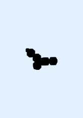 Cc1ccc(-c2ccc3c(c2)c2ccccc2n3-c2ccc(-c3ccccc3)cc2)cc1